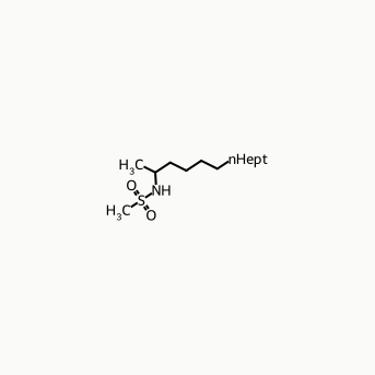 CCCCCCCCCCCC(C)NS(C)(=O)=O